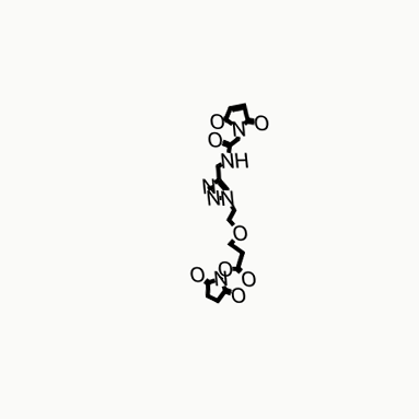 O=C(CN1C(=O)C=CC1=O)NCc1cn(CCOCCC(=O)ON2C(=O)CCC2=O)nn1